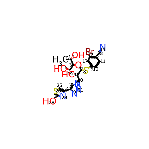 C[C@@H](O)C(CO)OC(Sc1ccc(C#N)c(Br)c1)[C@@H](O)Cn1cc(-c2csc(O)n2)nn1